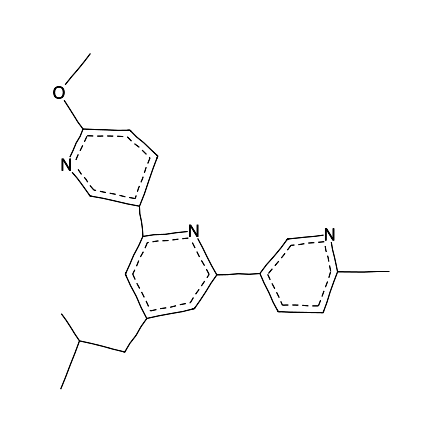 COc1ccc(-c2cc(CC(C)C)cc(-c3ccc(C)nc3)n2)cn1